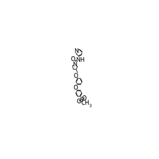 CS(=O)(=O)c1ccc(Oc2cccc(OCC3CCN(C(=O)Nc4cccnc4)C3)c2)cc1